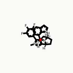 Cn1nc2c(c1-c1cc(F)c(F)c(F)c1)C[C@@H]1CC[C@H]2N1C(=O)c1cccc2cc[nH]c12